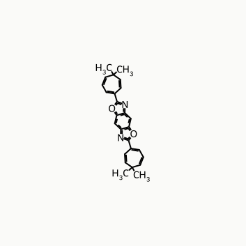 CC1(C)C=CC=C(c2nc3cc4oc(C5=CC=CC(C)(C)C=C5)nc4cc3o2)C=C1